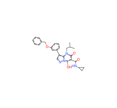 CC(C)Cn1c(=O)c(C(=O)NC2CC2)c(O)n2ncc(-c3cccc(OCc4ccccc4)c3)c12